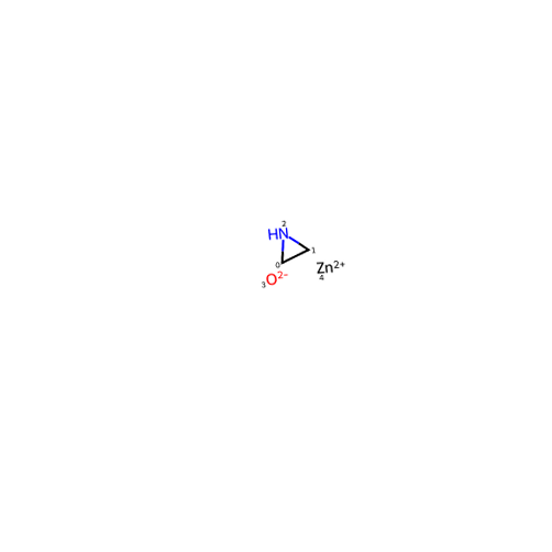 C1CN1.[O-2].[Zn+2]